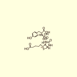 O=C(O)C(Cc1ccc(O)cc1)NP(=O)(O)O.O=C(O)CCCC[C@@H]1SC[C@@H]2NC(=O)N[C@@H]21